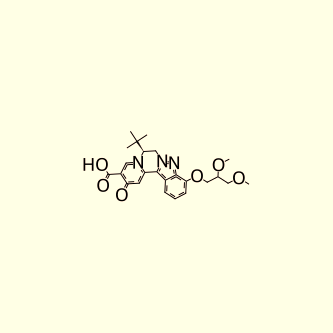 COCC(COc1cccc2c3n(nc12)C[C@H](C(C)(C)C)n1cc(C(=O)O)c(=O)cc1-3)OC